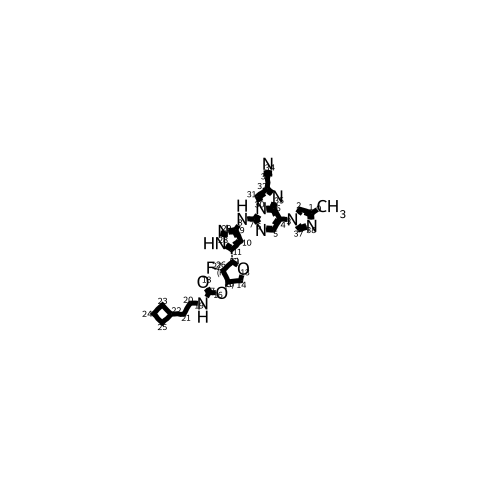 Cc1cn(-c2cnc(Nc3cc([C@@H]4OC[C@H](OC(=O)NCCC5CCC5)[C@@H]4F)[nH]n3)n3cc(C#N)nc23)cn1